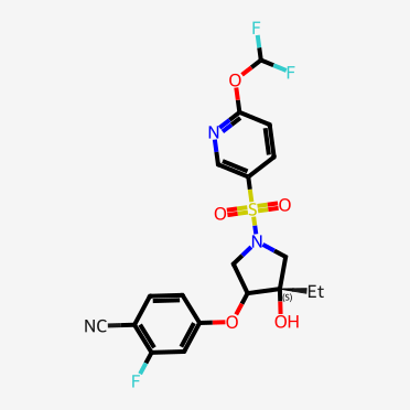 CC[C@]1(O)CN(S(=O)(=O)c2ccc(OC(F)F)nc2)CC1Oc1ccc(C#N)c(F)c1